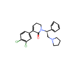 O=C1C(c2ccc(Cl)c(Cl)c2)=CCCN1[C@H](CN1CCCC1)c1ccccc1